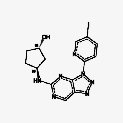 O[C@H]1CC[C@H](Nc2ncc3nnn(-c4ccc(I)cn4)c3n2)C1